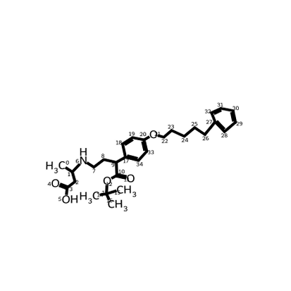 CC(CC(=O)O)NCCC(C(=O)OC(C)(C)C)c1ccc(OCCCCCc2ccccc2)cc1